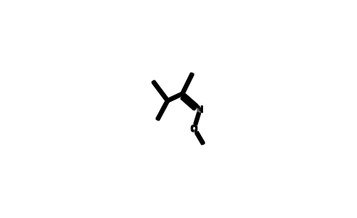 CON=C(C)C(C)C